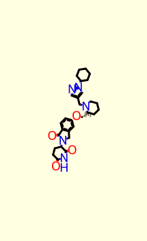 O=C1CCC(N2Cc3cc(OC[C@H]4CCCCN4Cc4cnn(C5CCCCC5)c4)ccc3C2=O)C(=O)N1